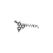 CCCCCCCOc1ccc(-c2cccc(F)c2)c(-c2ccc(C#N)cc2)c1